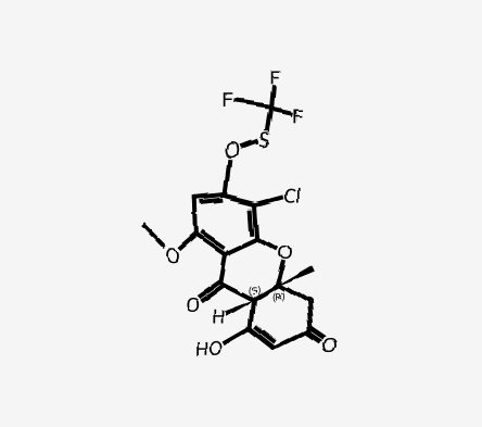 COc1cc(OSC(F)(F)F)c(Cl)c2c1C(=O)[C@H]1C(O)=CC(=O)C[C@@]1(C)O2